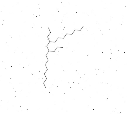 CCCCCCCCC([CH]C(CCC)CCCCCCCC)CCC